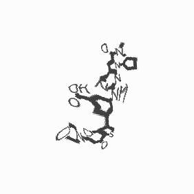 CN(C)C(=O)c1cc2cnc(Nc3cc(C(=O)O)cc(-c4csc5c(=O)cc(N6CCOCC6)oc45)c3)nc2n1C1CCCC1